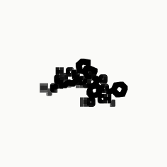 Cc1c(O)cc(O)c(C(=O)N2Cc3cccc(N(C)C(=O)/C=C/CN(C)C)c3C2)c1OCC1CCCCC1